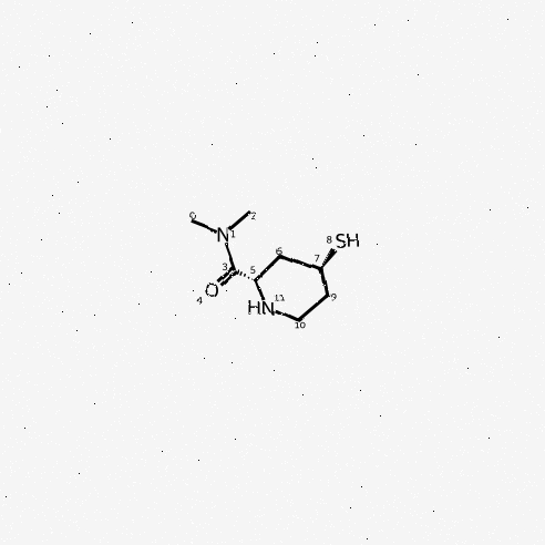 CN(C)C(=O)[C@@H]1C[C@@H](S)CCN1